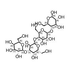 OC[C@H]1O[C@@H](O[C@H]2[C@@H](O)[C@@H](CO)O[C@H](O[C@@H]3[C@H](O)[C@@H](O)[C@H](O[C@H]4[C@H](O)[C@@H](O)[C@H](O)O[C@@H]4CO)O[C@@H]3CO)[C@@H]2O)[C@H](O)[C@@H](O)[C@H]1O